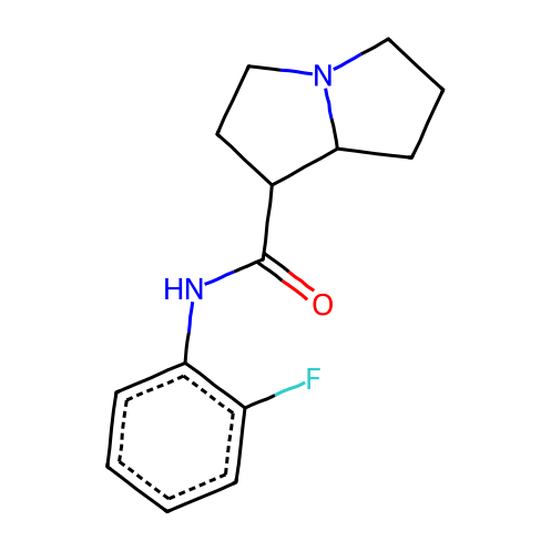 O=C(Nc1ccccc1F)C1CCN2CCCC12